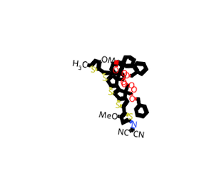 COc1cc(C)sc1-c1cc2c(s1)-c1sc3c(c1C2(C(=O)OCc1ccccc1)C(=O)OCc1ccccc1)C(C(=O)OCc1ccccc1)(C(=O)OCc1ccccc1)c1cc(-c2sc(N=C(C#N)C#N)cc2OC)sc1-3